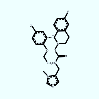 Cn1cncc1COC(=O)ON1CCc2cc(F)ccc2[C@H]1c1cc(Cl)ccc1OCC(=O)O